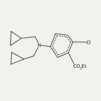 CCOC(=O)c1cc(N(CC2CC2)CC2CC2)ccc1Cl